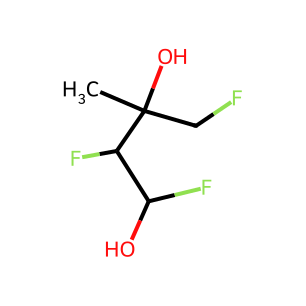 CC(O)(CF)C(F)C(O)F